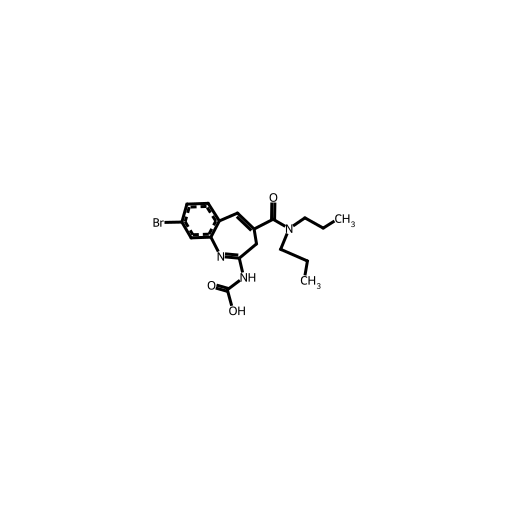 CCCN(CCC)C(=O)C1=Cc2ccc(Br)cc2N=C(NC(=O)O)C1